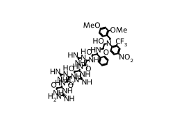 COc1ccc(CN(c2ccc([N+](=O)[O-])cc2C(F)(F)F)C(O)C(=O)NC(C(=O)NC(NC(=N)N)C(=O)NC(NC(=N)N)C(=O)NC(NC(=N)N)C(=O)NC(NC(=N)N)C(N)=O)c2ccccc2)c(OC)c1